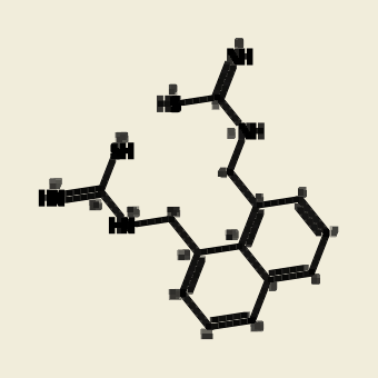 N=C(S)NCc1cccc2cccc(CNC(=N)S)c12